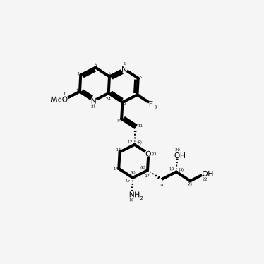 COc1ccc2ncc(F)c(C=C[C@H]3CC[C@@H](N)[C@@H](C[C@H](O)CO)O3)c2n1